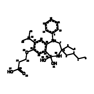 CCCCC1(CC)CN(c2ccccc2)c2cc(N(C)C)c(OCCC(=O)O)cc2S(O)(O)N1